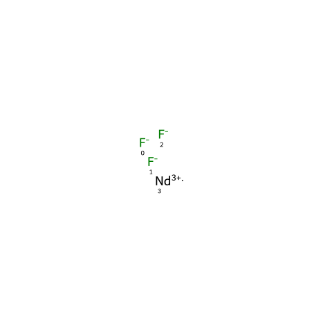 [F-].[F-].[F-].[Nd+3]